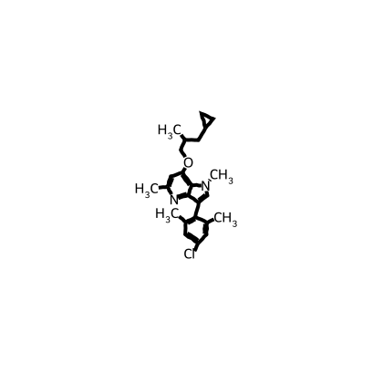 Cc1cc(OCC(C)CC2CC2)c2c(n1)c(-c1c(C)cc(Cl)cc1C)cn2C